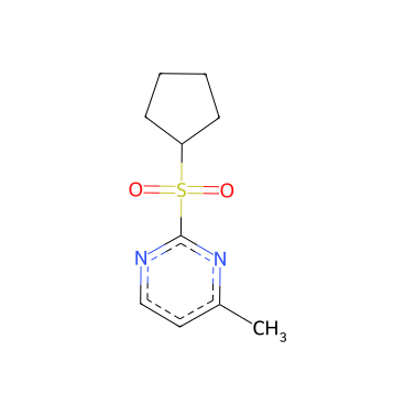 Cc1ccnc(S(=O)(=O)C2CCCC2)n1